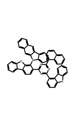 c1ccc2cc3c(cc2c1)c1ccccc1n3-c1c(-c2nc(-c3cccc4ccccc34)nc(-c3cccc4sc5ccccc5c34)n2)ccc2c1oc1ccccc12